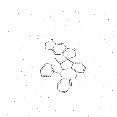 O=C1N(C(c2ccccc2)c2ccccc2)c2c(F)cccc2C12COc1cc3c(cc12)CCO3